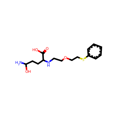 NC(O)CCC(NCCOCCSc1ccccc1)C(=O)O